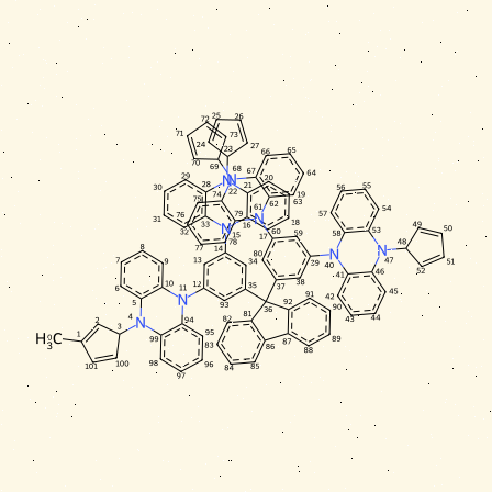 CC1=CC(N2c3ccccc3N(c3cc(N4c5ccccc5N(C5C=CC=C5)c5ccccc54)cc(C4(c5cc(N6c7ccccc7N(C7C=CC=C7)c7ccccc76)cc(N6c7ccccc7N(C7C=CC=C7)c7ccccc76)c5)c5ccccc5-c5ccccc54)c3)c3ccccc32)C=C1